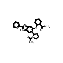 CC(=O)N1CCCC1c1cc2[nH]c(-c3ccccn3)nc2cc1Oc1ccccc1C(N)=O